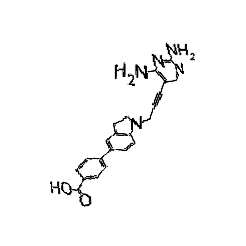 Nc1ncc(C#CCN2CCc3cc(-c4ccc(C(=O)O)cc4)ccc32)c(N)n1